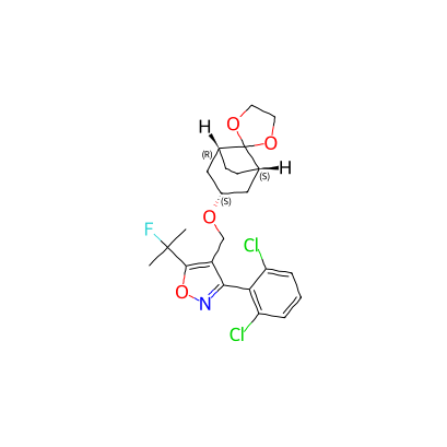 CC(C)(F)c1onc(-c2c(Cl)cccc2Cl)c1CO[C@@H]1C[C@H]2CC[C@@H](C1)C21OCCO1